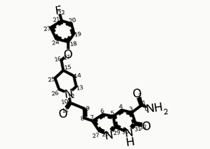 NC(=O)c1cc2cc(C=CC(=O)N3CCC(COc4ccc(F)cc4)CC3)cnc2[nH]c1=O